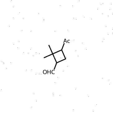 CC(=O)C1CC(C=O)C1(C)C